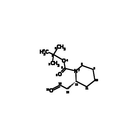 CC(C)(C)OC(=O)N1CCCC[C@@H]1CC=O